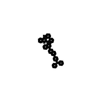 c1ccc(N(c2ccccc2)c2ccc(-c3ccc4cc(-c5cc6c7ccccc7n(-c7nc8ccccc8c8nc9ccccc9n78)c6c6ccccc56)ccc4c3)cc2)cc1